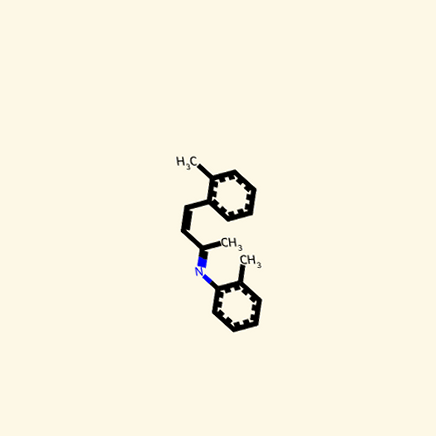 CC(/C=C\c1ccccc1C)=N\c1ccccc1C